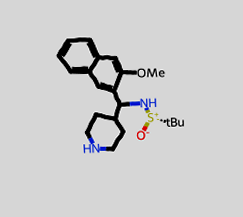 COc1cc2ccccc2cc1C(N[S@@+]([O-])C(C)(C)C)C1CCNCC1